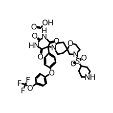 O=C1NC(=O)C(c2ccc(Oc3ccc(OC(F)(F)F)cc3)cc2)(N2CCC3(CC2)CN(S(=O)(=O)C2CCNCC2)CCO3)C(=O)N1.O=CO